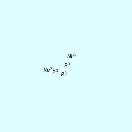 [Ni+2].[P-3].[P-3].[P-3].[Re+7]